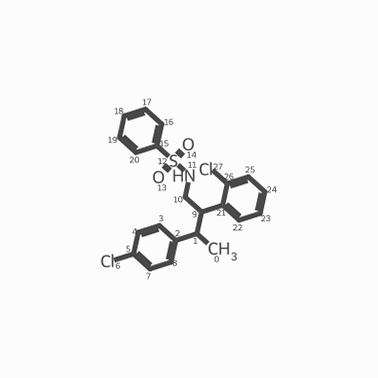 CC(c1ccc(Cl)cc1)C(CNS(=O)(=O)c1ccccc1)c1ccccc1Cl